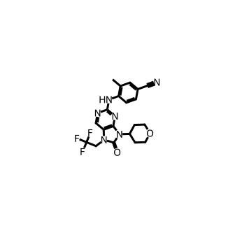 Cc1cc(C#N)ccc1Nc1ncc2c(n1)n(C1CCOCC1)c(=O)n2CC(F)(F)F